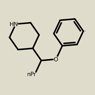 CCCC(Oc1c[c]ccc1)C1CCNCC1